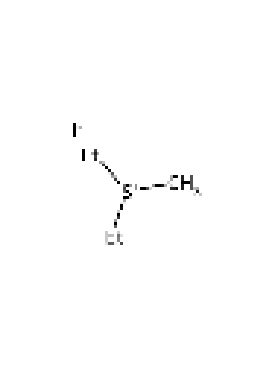 CC[S+](C)CC.[I-]